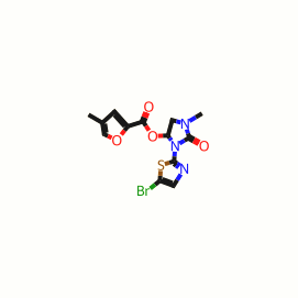 Cc1coc(C(=O)OC2CN(C)C(=O)N2c2ncc(Br)s2)c1